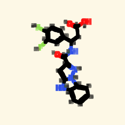 O=C(O)CC(NC(=O)c1cc2[nH]c3ccccc3n2n1)c1ccc(F)c(F)c1